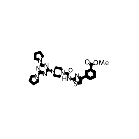 COC(=O)c1cccc(-c2csc(NC(=O)N3CCN(c4nc(N5CCCC5)nc(N5CCCC5)n4)CC3)n2)c1